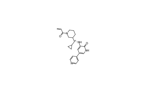 C=CC(=O)N1CCCC([C@H](Nc2cc(-c3ccncc3)c[nH]c2=O)C2CC2)C1